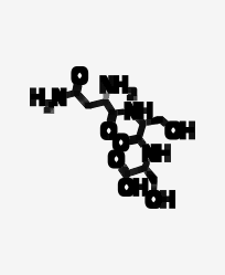 NC(=O)C[C@H](N)C(=O)N[C@@H](CO)C(=O)N[C@@H](CO)C(=O)O